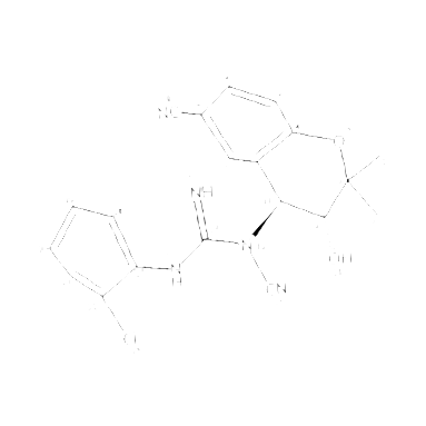 CC1(C)Oc2ccc(C#N)cc2[C@H](N(C#N)C(=N)Nc2ccccc2Cl)[C@H]1O